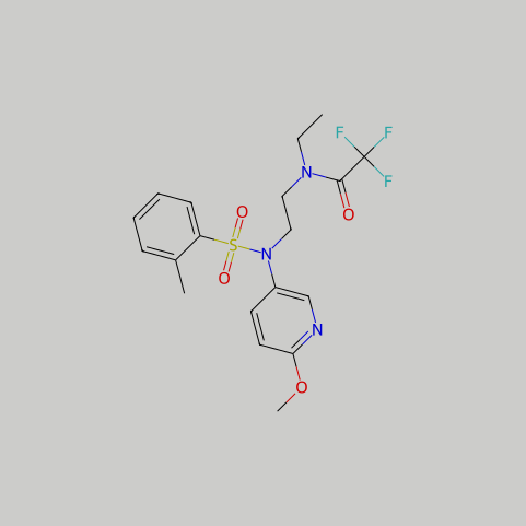 CCN(CCN(c1ccc(OC)nc1)S(=O)(=O)c1ccccc1C)C(=O)C(F)(F)F